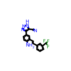 N#Cc1[nH]nnc1-c1ccc(N)c(C=Cc2cccc(C(F)(F)F)c2)c1